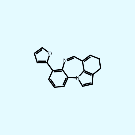 C1=Nc2c(-c3ccco3)cccc2-n2ccc3c2C1=CCC3